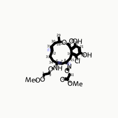 COOCCON/C1=C/C(=N\OCC(=O)OC)Cc2c(Cl)c(O)cc(O)c2C(=O)OC(C)C/C=C/CC1